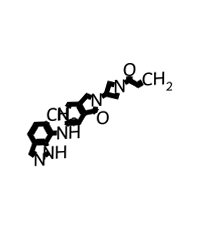 C=CC(=O)N1CC(N2Cc3cnc(Nc4c(C)ccc5cn[nH]c45)cc3C2=O)C1